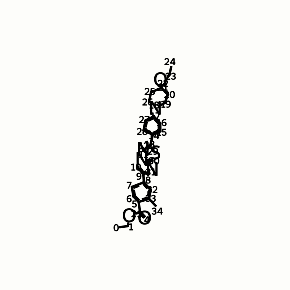 CCOC(=O)c1ccc(-c2cn3nc(-c4ccc(N5CCC(OCC)CC5)cc4)sc3n2)cc1C